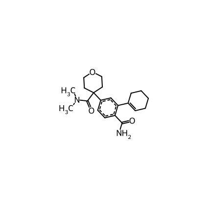 CN(C)C(=O)C1(c2ccc(C(N)=O)c(C3=CCCCC3)c2)CCOCC1